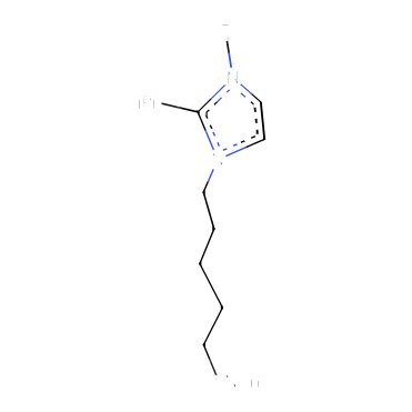 CCCCCCCCCCCCCCn1cc[n+](CC)c1C(C)C